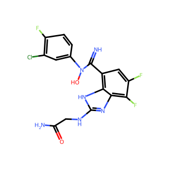 N=C(c1cc(F)c(F)c2nc(NCC(N)=O)[nH]c12)N(O)c1ccc(F)c(Cl)c1